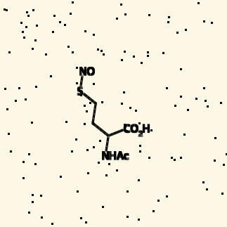 CC(=O)NC(CCSN=O)C(=O)O